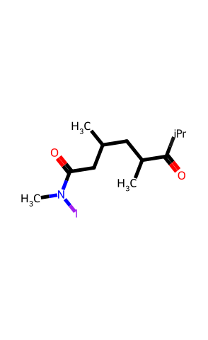 CC(CC(=O)N(C)I)CC(C)C(=O)C(C)C